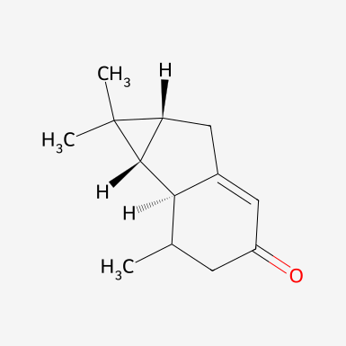 CC1CC(=O)C=C2C[C@@H]3[C@H]([C@@H]21)C3(C)C